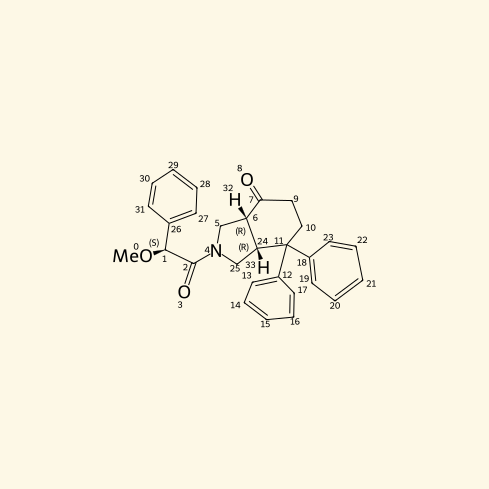 CO[C@H](C(=O)N1C[C@@H]2C(=O)CCC(c3ccccc3)(c3ccccc3)[C@@H]2C1)c1ccccc1